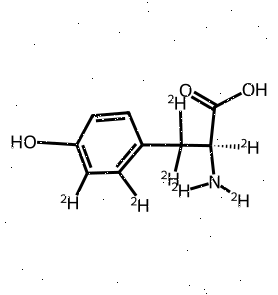 [2H]c1c(O)ccc(C([2H])([2H])[C@@]([2H])(C(=O)O)N([2H])[2H])c1[2H]